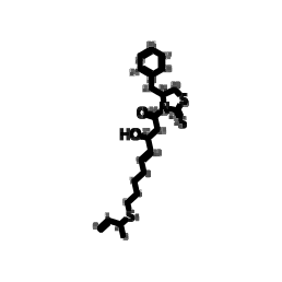 C=CC(C)SCCCC/C=C/C(O)CC(=O)N1C(=S)SCC1Cc1ccccc1